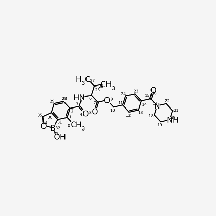 Cc1c(C(=O)N[C@H](C(=O)OCc2ccc(C(=O)N3CCNCC3)cc2)C(C)C)ccc2c1B(O)OC2